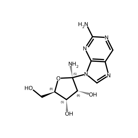 Nc1ncc2ncn([C@]3(N)O[C@H](CO)[C@@H](O)[C@H]3O)c2n1